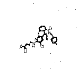 COC(=O)CCCNc1nc(F)c(C2NN(Cc3ccc(C)cc3)C(=O)c3ccccc32)cc1Cl